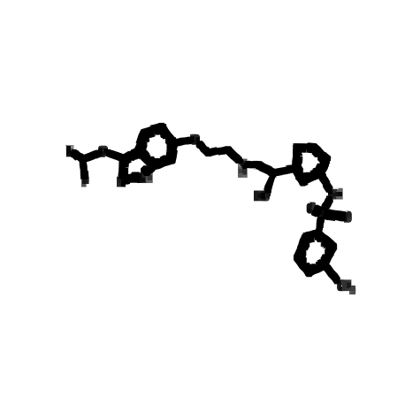 Cc1cccc(S(=O)(=O)Nc2cccc([C@@H](O)CNCCOc3ccc4c(OC(F)F)n[nH]c4c3)c2)c1